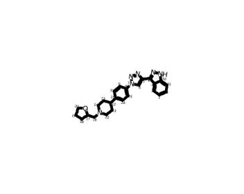 c1ccc2c(-c3cn(-c4ccc(C5CCN(CC6CCCO6)CC5)cc4)nn3)n[nH]c2c1